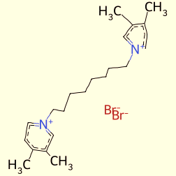 Cc1cc[n+](CCCCCCCC[n+]2ccc(C)c(C)c2)cc1C.[Br-].[Br-]